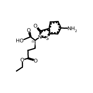 CCOC(=O)CC[C@@H](C(=O)O)n1sc2cc(N)ccc2c1=O